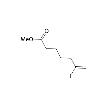 C=C(I)CCCCC(=O)OC